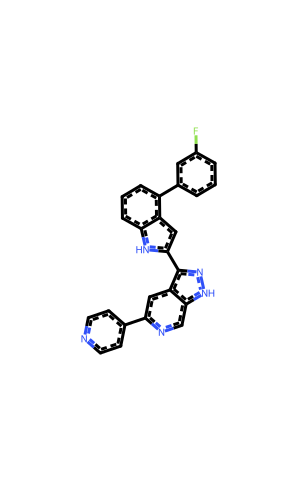 Fc1cccc(-c2cccc3[nH]c(-c4n[nH]c5cnc(-c6ccncc6)cc45)cc23)c1